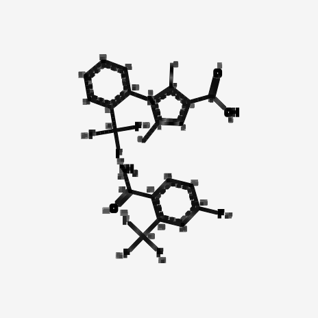 Cc1cc(C(=O)O)c(C)n1-c1ccccc1C(F)(F)F.NC(=O)c1ccc(F)cc1C(F)(F)F